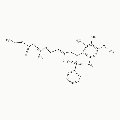 CCOC(=O)/C=C(C)/C=C/C=C(\C)CC(c1c(C)cc(OC)c(C)c1C)S(=O)(=O)c1ccccc1